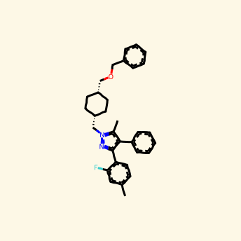 Cc1ccc(-c2nn(C[C@H]3CC[C@@H](COCc4ccccc4)CC3)c(C)c2-c2ccccc2)c(F)c1